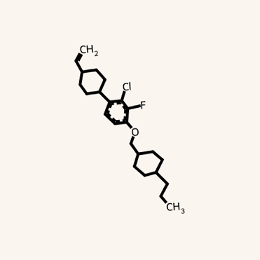 C=CC1CCC(c2ccc(OCC3CCC(CCC)CC3)c(F)c2Cl)CC1